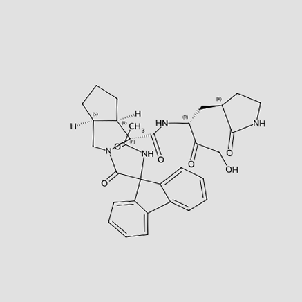 CC(=O)NC1(C(=O)N2C[C@H]3CCC[C@H]3[C@@H]2C(=O)N[C@H](C[C@H]2CCNC2=O)C(=O)CO)c2ccccc2-c2ccccc21